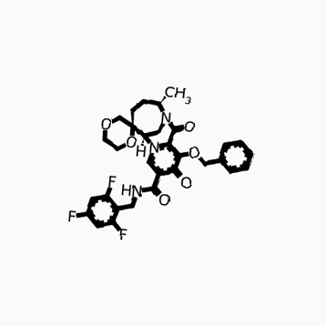 C[C@H]1CC[C@@]2(COCCO2)[C@H]2CN1C(=O)c1c(OCc3ccccc3)c(=O)c(C(=O)NCc3c(F)cc(F)cc3F)cn12